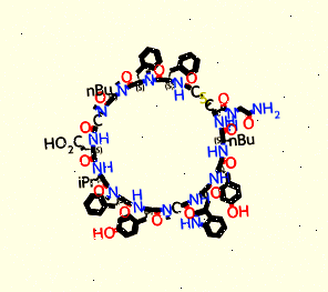 CCCC[C@@H]1NC(=O)[C@H](Cc2ccc(O)cc2)NC(=O)[C@H](Cc2c[nH]c3ccccc23)NC(=O)CN(C)C(=O)[C@H](Cc2ccc(O)cc2)NC(=O)[C@H](Cc2ccccc2)N(C)C(=O)[C@H](C(C)C)NC(=O)[C@H](CC(=O)O)NC(=O)CN(C)C(=O)[C@H](CCCC)N(C)C(=O)[C@H](Cc2ccccc2)N(C)C(=O)[C@H](Cc2ccccc2)NC(=O)CSC[C@@H](C(=O)NCC(N)=O)NC1=O